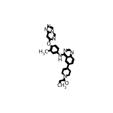 C=CC(=O)N1CC=C(c2ccc3ncnc(Nc4ccc(Oc5cc6nncn6cn5)c(C)c4)c3c2)CC1